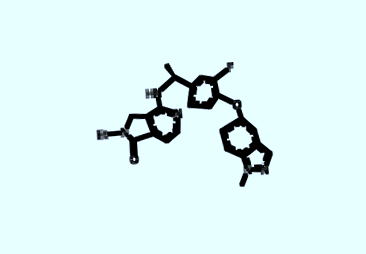 CCN1Cc2c(ccnc2N[C@@H](C)c2ccc(Oc3ccc4c(cnn4C)c3)c(F)c2)C1=O